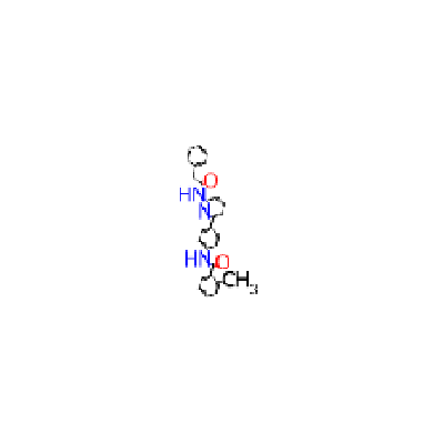 Cc1ccccc1C(=O)Nc1ccc(-c2cccc(NC(=O)Cc3ccccc3)n2)cc1